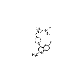 CCN(CC)CCN(C)CC1CCN(c2cc(C)nc3ccc(F)cc23)CC1